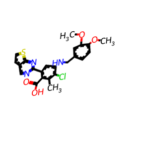 COc1ccc(CNc2cc(-c3ncc4ccsc4n3)c(C(=O)O)c(C)c2Cl)cc1OC